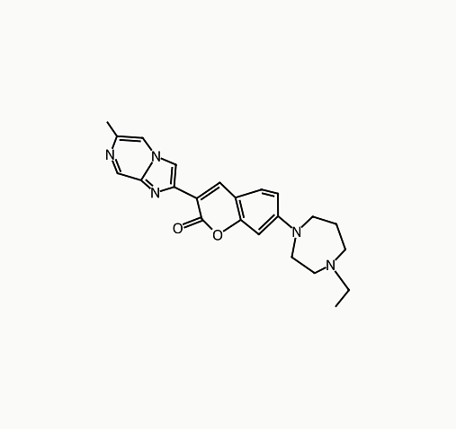 CCN1CCCN(c2ccc3cc(-c4cn5cc(C)ncc5n4)c(=O)oc3c2)CC1